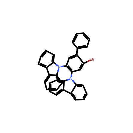 Brc1cc(-n2c3ccccc3c3ccccc32)c(-n2c3ccccc3c3ccccc32)cc1-c1ccccc1